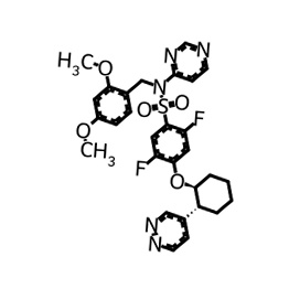 COc1ccc(CN(c2ccncn2)S(=O)(=O)c2cc(F)c(O[C@H]3CCCC[C@@H]3c3ccnnc3)cc2F)c(OC)c1